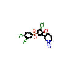 O=S(=O)(c1ccc(F)c(F)c1)c1cc(Cl)c2oc3c(c2c1)CNCC3